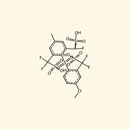 COc1ccc(S(=O)(=O)c2c(C(F)(F)S(=O)(=O)O)cc(C)cc2C(F)(F)S(=O)(=O)O)c(C(F)(F)S(=O)(=O)O)c1